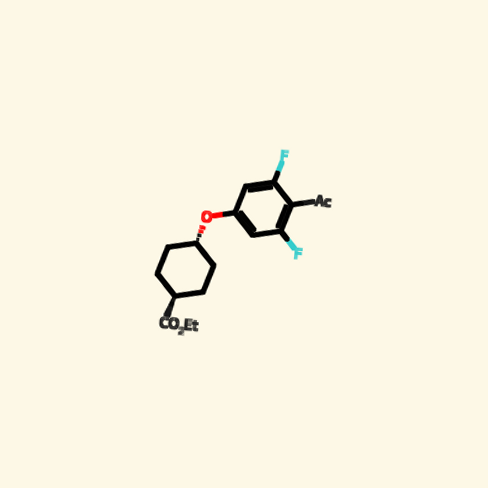 CCOC(=O)[C@H]1CC[C@H](Oc2cc(F)c(C(C)=O)c(F)c2)CC1